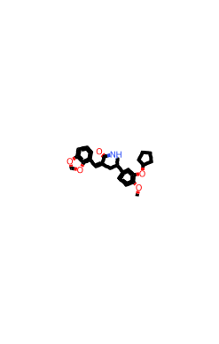 COc1ccc(C2CNC(=O)C(=Cc3cccc4c3OCO4)C2)cc1OC1CCCC1